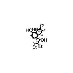 CCNC(CC)C(O)c1ccc(O)c2c1CCC(=O)N2